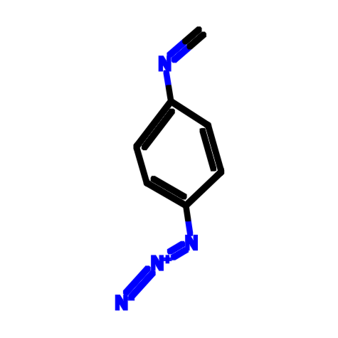 C=Nc1ccc(N=[N+]=[N-])cc1